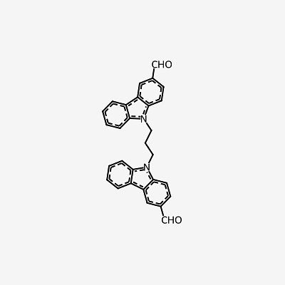 O=Cc1ccc2c(c1)c1ccccc1n2CCCn1c2ccccc2c2cc(C=O)ccc21